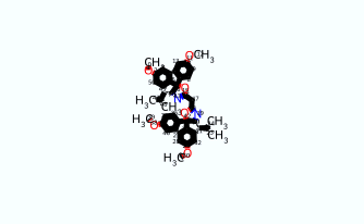 COc1ccc(C2(c3ccc(OC)cc3)OC(CC3=N[C@H](CC(C)C)C(c4ccc(OC)cc4)(c4ccc(OC)cc4)O3)=N[C@@H]2CC(C)C)cc1